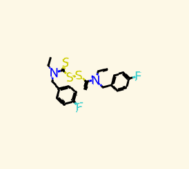 C=C(SSC(=S)N(CC)Cc1ccc(F)cc1)N(CC)Cc1ccc(F)cc1